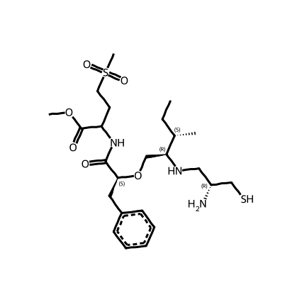 CC[C@H](C)[C@H](CO[C@@H](Cc1ccccc1)C(=O)NC(CCS(C)(=O)=O)C(=O)OC)NC[C@@H](N)CS